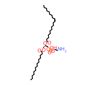 CCCCCCCC/C=C\CCCCCCCCCC(=O)O[C@H](COC(=O)CCCCCCCCCCCCCC)COP(=O)(O)OCCN